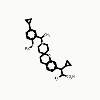 CC(C(=O)O)C(c1ccc2c(c1)OC1(CC2)CCN(C(C)c2cc(C3CC3)ccc2OC(F)(F)F)CC1)C1CC1